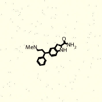 CNCCC(c1ccccc1)c1ccc2c(c1)CC(C(N)=O)N2